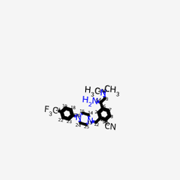 CN(C)CC(N)c1ccc(C#N)c(CN2CCN(c3ccc(C(F)(F)F)cc3)CC2)c1